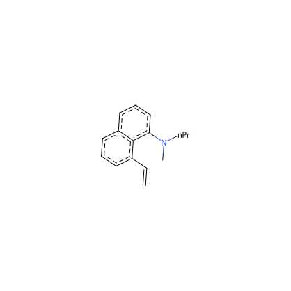 C=Cc1cccc2cccc(N(C)CCC)c12